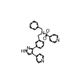 O=S(=O)(c1ccncc1)N(Cc1ccccc1)Cc1cccc(-c2n[nH]cc2-c2ccncc2)c1